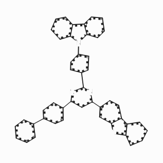 c1ccc(-c2ccc(-c3cc(-c4ccc5c(c4)sc4ccccc45)nc(-c4ccc(-n5c6ccccc6c6ccccc65)cc4)n3)cc2)cc1